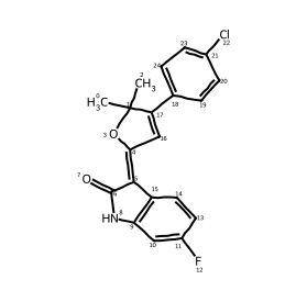 CC1(C)OC(=C2C(=O)Nc3cc(F)ccc32)C=C1c1ccc(Cl)cc1